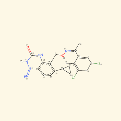 CC1=C(Cl)CC(Cl)C=C1/C(C)=N\OCc1c(NC(=O)N(C)N=N)cccc1C1CC1